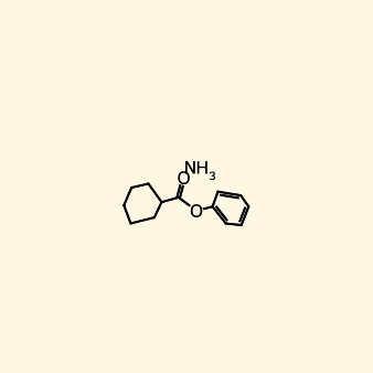 N.O=C(Oc1ccccc1)C1CCCCC1